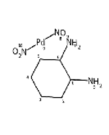 NC1CCCCC1N.O=[N+]([O-])[Pd][N+](=O)[O-]